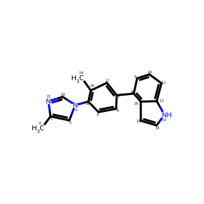 Cc1cn(-c2ccc(-c3cccc4[nH]ccc34)cc2C)cn1